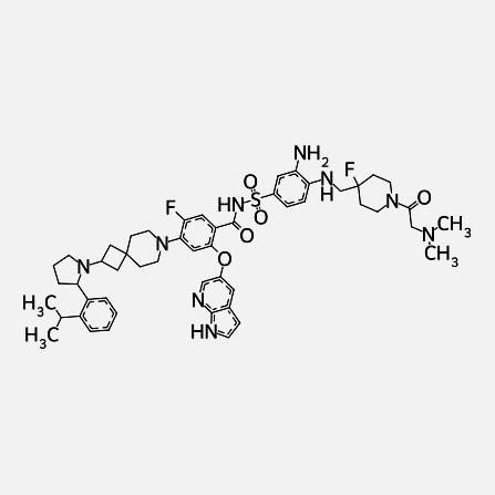 CC(C)c1ccccc1C1CCCN1C1CC2(CCN(c3cc(Oc4cnc5[nH]ccc5c4)c(C(=O)NS(=O)(=O)c4ccc(NCC5(F)CCN(C(=O)CN(C)C)CC5)c(N)c4)cc3F)CC2)C1